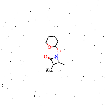 CCC(C)C1C(=O)N(OC2CCCCO2)C1C